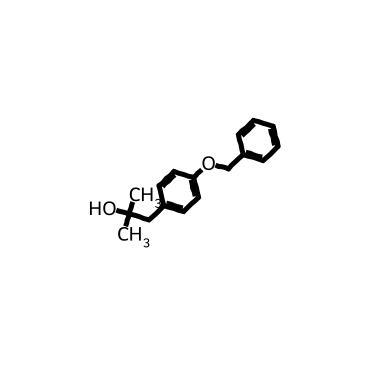 CC(C)(O)Cc1ccc(OCc2ccccc2)cc1